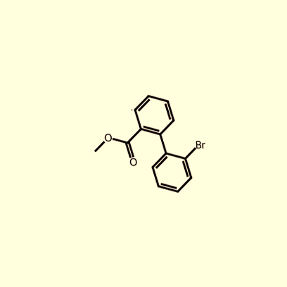 COC(=O)c1[c]cccc1-c1ccccc1Br